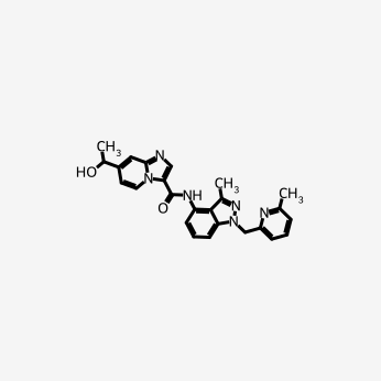 Cc1cccc(Cn2nc(C)c3c(NC(=O)c4cnc5cc(C(C)O)ccn45)cccc32)n1